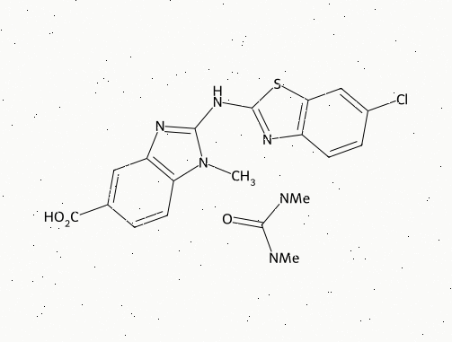 CNC(=O)NC.Cn1c(Nc2nc3ccc(Cl)cc3s2)nc2cc(C(=O)O)ccc21